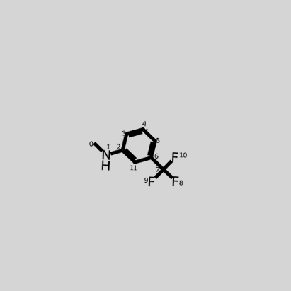 CNc1c[c]cc(C(F)(F)F)c1